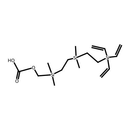 C=C[Si](C=C)(C=C)CC[Si](C)(C)CC[Si](C)(C)COC(=O)O